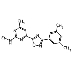 CCNc1nc(C)cc(-c2nc(-c3cc(C)nc(C)c3)no2)n1